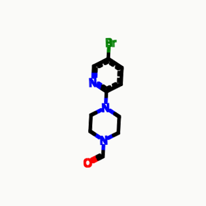 O=CN1CCN(c2ccc(Br)cn2)CC1